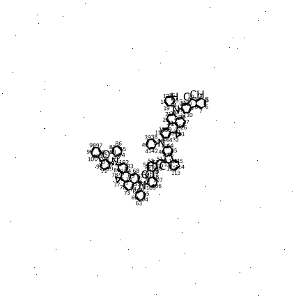 CC1(C)c2ccccc2-c2ccc(N(c3ccccc3)c3ccc4c5c(cccc35)C3(CC3)c3cc(N(c5ccccc5)c5ccc6c(c5)C(C)(Cc5ccc7oc8c(N(c9ccccc9)c9ccc%10c%11c(cccc9%11)C9(CC9)c9cc(N(c%11ccccc%11)c%11cccc%12c%11oc%11ccccc%11%12)ccc9-%10)cccc8c7c5)c5ccccc5-6)ccc3-4)cc21